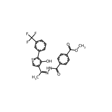 COC(=O)c1ccc(C(=O)NN=C(C)c2csc(-c3cccc(C(F)(F)F)c3)c2O)cc1